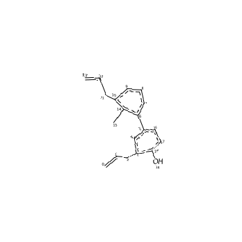 C=CCc1cc(-c2cccc(CC=C)c2C)ccc1O